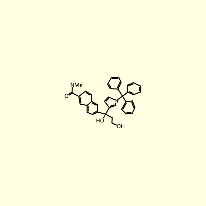 CNC(=O)c1ccc2cc([C@@](O)(CCO)c3ccn(C(c4ccccc4)(c4ccccc4)c4ccccc4)c3)ccc2c1